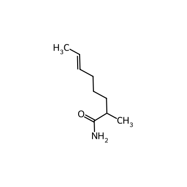 CC=CCCCC(C)C(N)=O